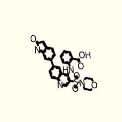 O=C1C=c2ccc(-c3ccc4ncc(S(=O)(=O)N5CCOCC5)c(Nc5ccccc5C(=O)O)c4c3)cc2=N1